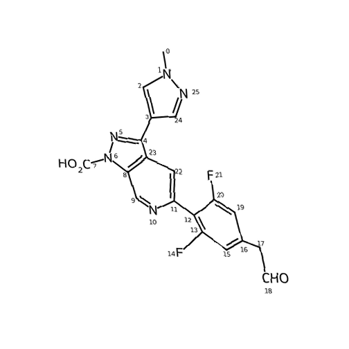 Cn1cc(-c2nn(C(=O)O)c3cnc(-c4c(F)cc(CC=O)cc4F)cc23)cn1